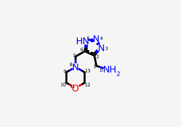 NCc1nn[nH]c1CN1CCOCC1